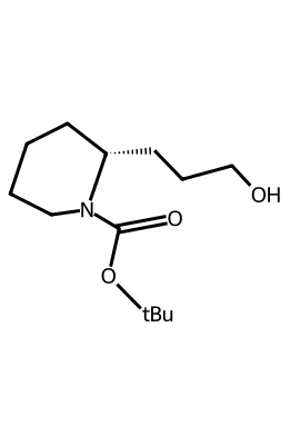 CC(C)(C)OC(=O)N1CCCC[C@@H]1CCCO